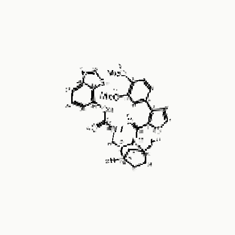 COc1ccc(-c2ccsc2C(=O)N2[C@@H]3CC[C@@H](C3)[C@H]2CNC(=O)Oc2cccc3ncsc23)cc1OC